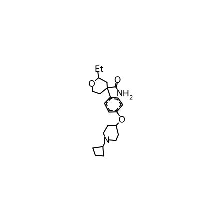 CCC1CC(C(N)=O)(c2ccc(OC3CCN(C4CCC4)CC3)cc2)CCO1